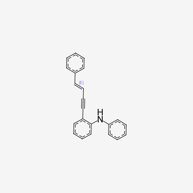 C(#Cc1ccccc1Nc1ccccc1)/C=C/c1ccccc1